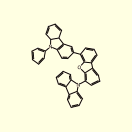 C1=CC2c3cc(-c4cccc5c4oc4c(-n6c7ccccc7c7ccccc76)cccc45)ccc3N(c3ccccc3)C2C=C1